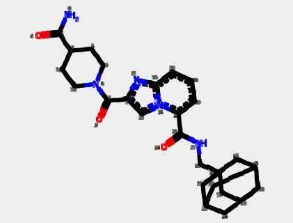 NC(=O)C1CCN(C(=O)c2cn3c(C(=O)NCC45CC6CC(CC(C6)C4)C5)cccc3n2)CC1